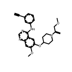 C#Cc1cccc(Nc2ncnc3cc(OC)c(OC4CCN(C(=C)COC)CC4)cc23)c1